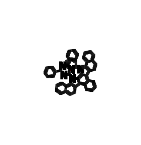 c1ccc(-c2nc(-c3ccccc3)nc(-n3c4c5ccccc5ccc4c4c5ccccc5c5c6ccc7ccccc7c6n(-c6ccccc6)c5c43)n2)cc1